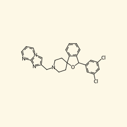 Clc1cc(Cl)cc(C2OC3(CCN(Cc4cn5cccnc5n4)CC3)c3ccccc32)c1